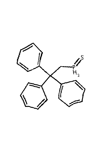 S=[PH2]CC(c1ccccc1)(c1ccccc1)c1ccccc1